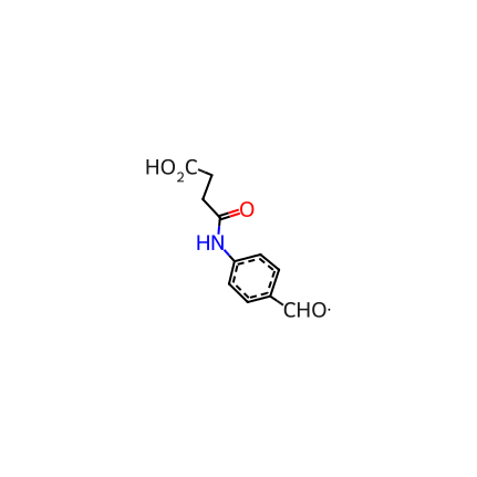 O=[C]c1ccc(NC(=O)CCC(=O)O)cc1